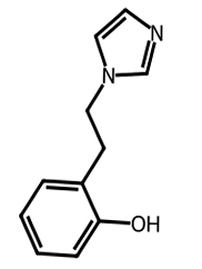 Oc1ccccc1CCn1ccnc1